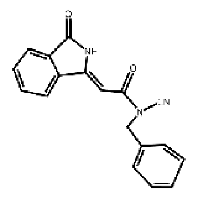 N#CN(Cc1ccccc1)C(=O)C=C1NC(=O)c2ccccc21